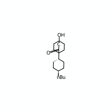 CCCC[C@H]1CC[C@H](C23CCC(O)(CC2)CC3=O)CC1